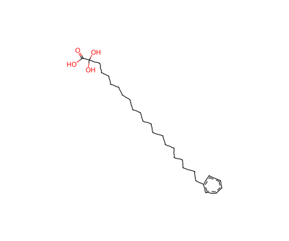 O=C(O)C(O)(O)CCCCCCCCCCCCCCCCCCCCc1ccccc1